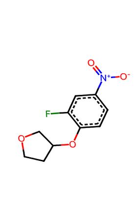 O=[N+]([O-])c1ccc(OC2CCOC2)c(F)c1